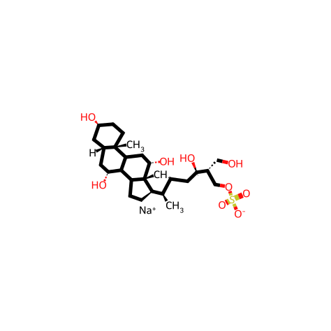 C[C@H](CC[C@@H](O)[C@H](CO)COS(=O)(=O)[O-])[C@H]1CCC2C3C(C[C@H](O)[C@@]21C)[C@@]1(C)CC[C@@H](O)C[C@H]1C[C@H]3O.[Na+]